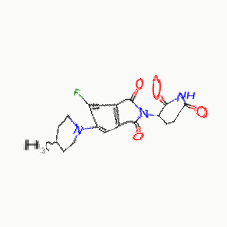 CC1CCN(c2cc3c(cc2F)C(=O)N(C2CCC(=O)NC2=O)C3=O)CC1